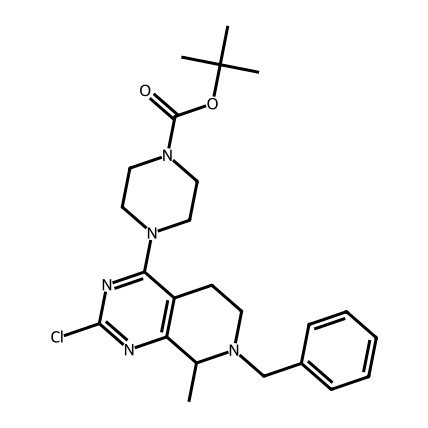 CC1c2nc(Cl)nc(N3CCN(C(=O)OC(C)(C)C)CC3)c2CCN1Cc1ccccc1